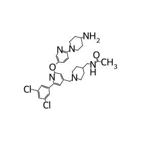 CC(=O)NCC1CCN(Cc2cc(Oc3ccc(N4CCC(N)CC4)nc3)nc(-c3cc(Cl)cc(Cl)c3)c2)CC1